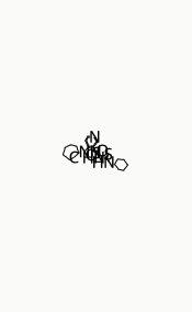 O=S(=O)(NC(=S)NC1CCCCC1)c1cnccc1NC1CCCCCC1